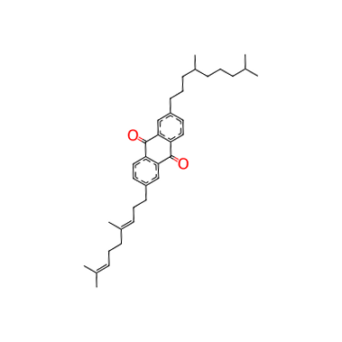 CC(C)=CCC/C(C)=C/CCc1ccc2c(c1)C(=O)c1ccc(CCCC(C)CCCC(C)C)cc1C2=O